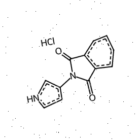 Cl.O=C1c2ccccc2C(=O)N1c1cc[nH]c1